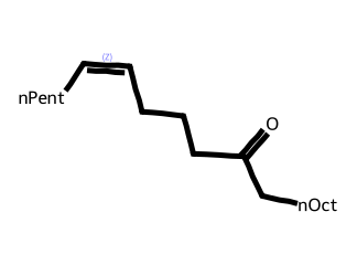 CCCCC/C=C\CCCC(=O)CCCCCCCCC